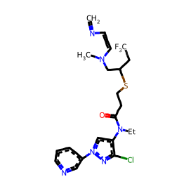 C=N/C=C\N(C)CC(CC(F)(F)F)SCCC(=O)N(CC)c1cn(-c2cccnc2)nc1Cl